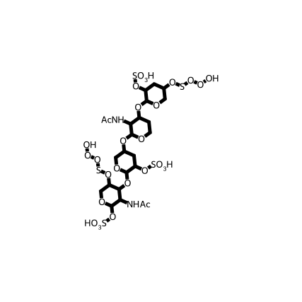 CC(=O)NC1C(OC2OCC(OSOOO)CC2OS(=O)(=O)O)CCOC1OC1COC(OC2C(OSOOO)COC(OS(=O)(=O)O)C2NC(C)=O)C(OS(=O)(=O)O)C1